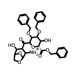 NC1C2OCC(O2)C(O)C1C(=O)C1O[C@@H](C(=O)OCc2ccccc2)C(O)C(OCc2ccccc2)C1OCc1ccccc1